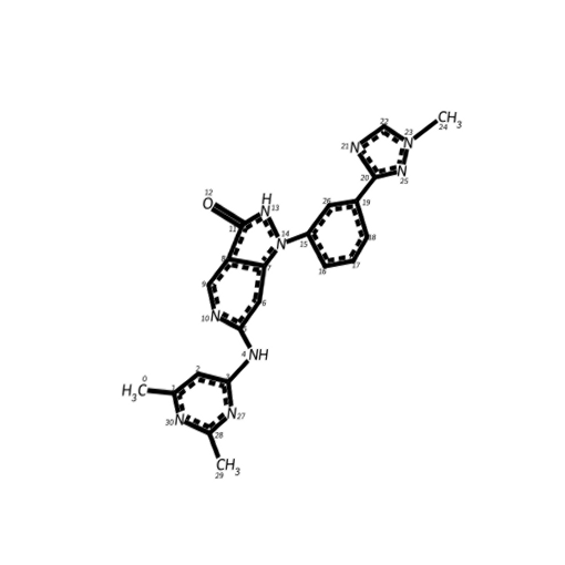 Cc1cc(Nc2cc3c(cn2)c(=O)[nH]n3-c2cccc(-c3ncn(C)n3)c2)nc(C)n1